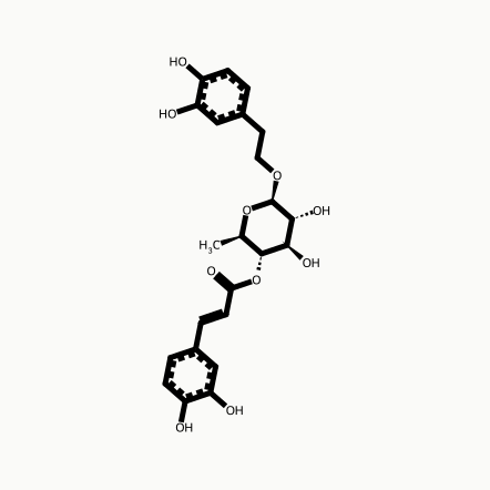 C[C@H]1O[C@@H](OCCc2ccc(O)c(O)c2)[C@H](O)[C@@H](O)[C@@H]1OC(=O)C=Cc1ccc(O)c(O)c1